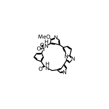 COc1ncc2cc1NS(=O)(=O)c1cccc(c1)C(=O)NCc1cncc(c1)-c1cnc3ccc-2cn13